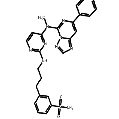 CN(c1ccnc(NCCCc2cccc(S(N)(=O)=O)c2)n1)c1nc(-c2ccccc2)cc2ncnn12